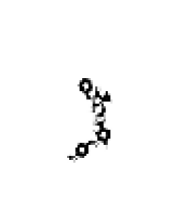 COc1ccc(COc2c(F)ccc(-c3nnc(CN4C(=O)N(Cc5ccccc5)C(=O)C45CC5)s3)c2F)cc1